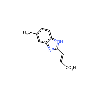 Cc1ccc2[nH]c(C=CC(=O)O)nc2c1